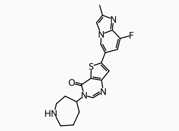 Cc1cn2cc(-c3cc4ncn(C5CCCNCC5)c(=O)c4s3)cc(F)c2n1